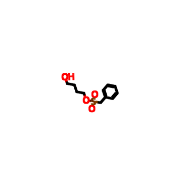 O=S(=O)(Cc1ccccc1)OCCCCO